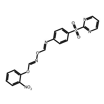 O=[N+]([O-])c1ccccc1O/C=N/O/C=N/c1ccc(S(=O)(=O)c2ncccn2)cc1